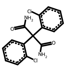 NC(=O)C(C(N)=O)(c1ccccc1Cl)c1ccccc1Cl